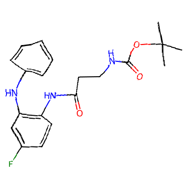 CC(C)(C)OC(=O)NCCC(=O)Nc1ccc(F)cc1Nc1ccccc1